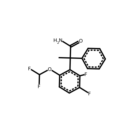 CC(C(N)=O)(c1ccccc1)c1c(OC(F)F)ccc(F)c1F